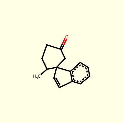 CC1CCC(=O)CC12C=Cc1ccccc12